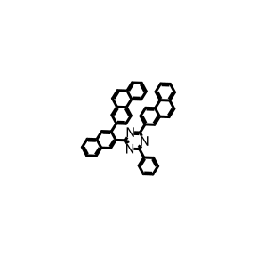 c1ccc(-c2nc(-c3ccc4c(ccc5ccccc54)c3)nc(-c3cc4ccccc4cc3-c3ccc4c(ccc5ccccc54)c3)n2)cc1